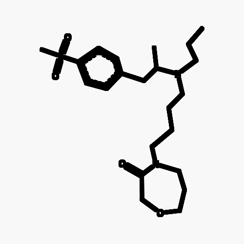 CCCN(CCCCN1CCCOCC1=O)C(C)Cc1ccc(S(C)(=O)=O)cc1